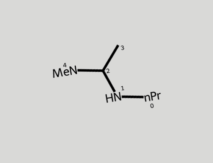 CCCNC(C)NC